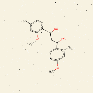 COc1ccc(C(O)CC(O)c2ccc(C)cc2OC)c(C)c1